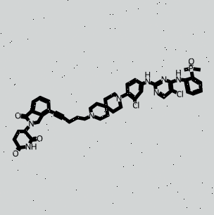 CP(C)(=O)c1ccccc1Nc1nc(Nc2ccc(N3CCC4(CCN(CCCC#Cc5cccc6c5CN(C5CCC(=O)NC5=O)C6=O)CC4)CC3)c(Cl)c2)ncc1Cl